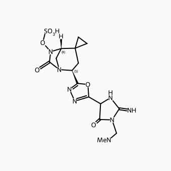 CNCN1C(=N)NC(c2nnc([C@@H]3CC4(CC4)[C@@H]4CN3C(=O)N4OS(=O)(=O)O)o2)C1=O